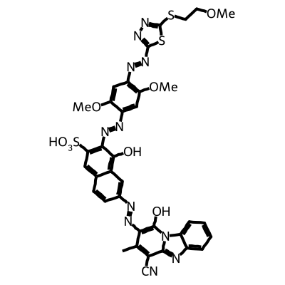 COCCSc1nnc(N=Nc2cc(OC)c(N=Nc3c(S(=O)(=O)O)cc4ccc(N=Nc5c(C)c(C#N)c6nc7ccccc7n6c5O)cc4c3O)cc2OC)s1